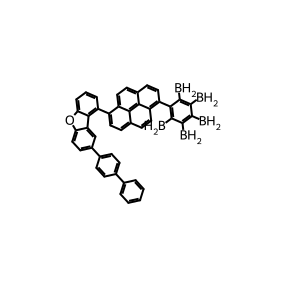 Bc1c(B)c(B)c(-c2ccc3ccc4c(-c5cccc6oc7ccc(-c8ccc(-c9ccccc9)cc8)cc7c56)ccc5ccc2c3c54)c(B)c1B